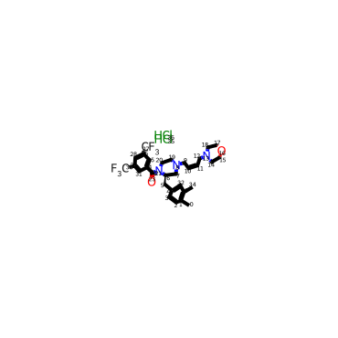 Cc1ccc(C[C@@H]2CN(C/C=C\CN3CCOCC3)CCN2C(=O)c2cc(C(F)(F)F)cc(C(F)(F)F)c2)cc1C.Cl.Cl